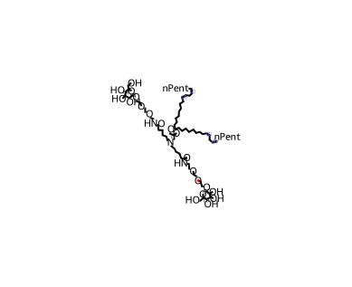 CCCCC/C=C\C/C=C\CCCCCCCCC1(CCCCCCCC/C=C\C/C=C\CCCCC)OC[C@H](CN(CCCCCC(=O)NCCOCCOCCO[C@H]2OC(CO)[C@@H](O)C(O)C2O)CCCCCC(=O)NCCOCCOCCO[C@H]2OC(CO)[C@@H](O)C(O)C2O)O1